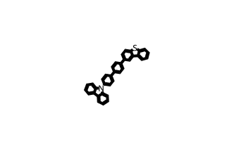 c1ccc2c(c1)sc1ccc(-c3ccc(-c4ccc(-n5c6ccccc6c6ccccc65)cc4)cc3)cc12